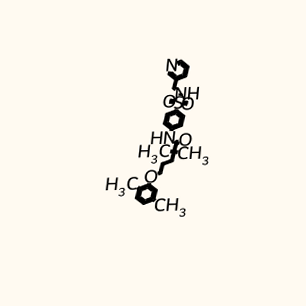 Cc1ccc(C)c(OCCCC(C)(C)C(=O)Nc2ccc(S(=O)(=O)NCc3cccnc3)cc2)c1